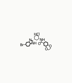 Cl.O=C(N[C@H]1CCC[C@@H](c2nc3cc(Br)ccc3[nH]2)C1)c1ccc2c(c1)OCCO2